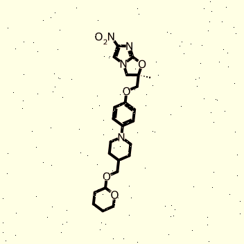 C[C@]1(COc2ccc(N3CCC(COC4CCCCO4)CC3)cc2)Cn2cc([N+](=O)[O-])nc2O1